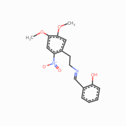 COc1cc(CCN=Cc2ccccc2O)c([N+](=O)[O-])cc1OC